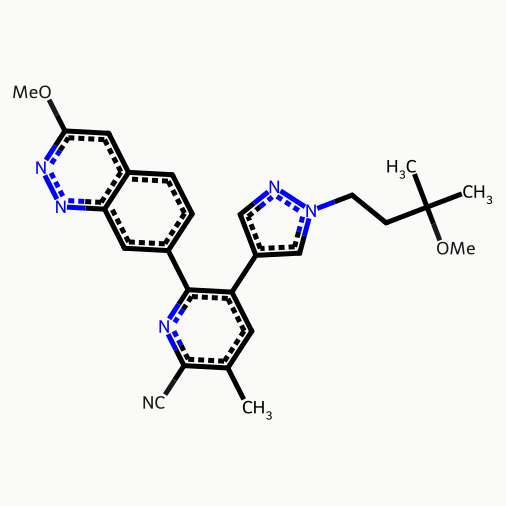 COc1cc2ccc(-c3nc(C#N)c(C)cc3-c3cnn(CCC(C)(C)OC)c3)cc2nn1